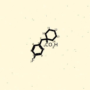 O=C(O)C1(Cc2ccc(F)cc2)CCCCC1